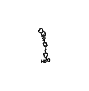 O=C(O)c1ccc(C=Cc2ccc(SCc3ccc4ccccc4n3)cc2)cc1